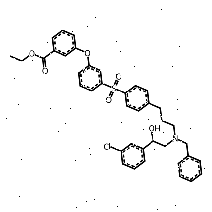 CCOC(=O)c1cccc(Oc2cccc(S(=O)(=O)c3ccc(CCCN(Cc4ccccc4)C[C@H](O)c4cccc(Cl)c4)cc3)c2)c1